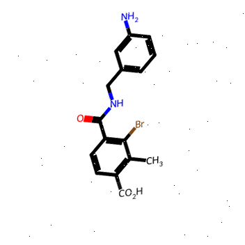 Cc1c(C(=O)O)ccc(C(=O)NCc2cccc(N)c2)c1Br